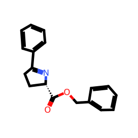 O=C(OCc1ccccc1)[C@@H]1CCC(c2ccccc2)=N1